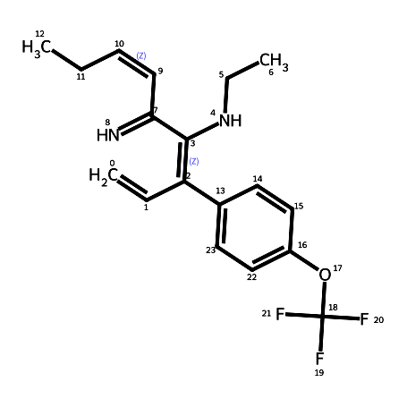 C=C/C(=C(/NCC)C(=N)/C=C\CC)c1ccc(OC(F)(F)F)cc1